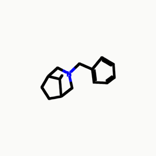 CC1C2CCC1CN(Cc1ccccc1)C2